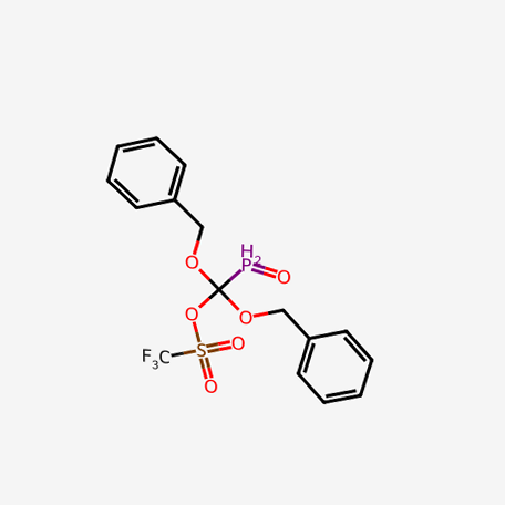 O=[PH2]C(OCc1ccccc1)(OCc1ccccc1)OS(=O)(=O)C(F)(F)F